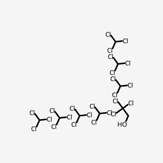 ClC(Cl)Cl.ClC(Cl)Cl.ClC(Cl)Cl.ClC(Cl)Cl.ClC(Cl)Cl.ClC(Cl)Cl.ClC(Cl)Cl.OCC(Cl)(Cl)Cl